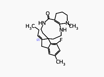 CC/C=C1/Cc2cc(C)cc(F)c2C12CCNC(=O)C1=C(NCC2)N(C)CCC1